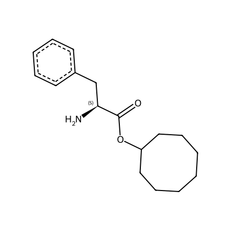 N[C@@H](Cc1ccccc1)C(=O)OC1CCCCCCC1